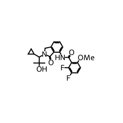 COc1ccc(F)c(F)c1C(=O)Nc1cccc2c1C(=O)N(C(C1CC1)C(C)(C)O)C2